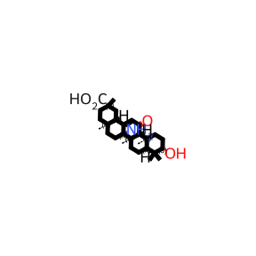 CC1(C)[C@@H](O)CC[C@]2(C)[C@H]3C(=O)C=C4[C@H]5C[C@@](C)(C(=O)O)CC[C@]5(C)CC[C@@]4(N)[C@]3(C)CC[C@@H]12